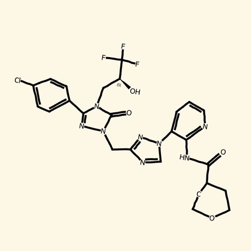 O=C(Nc1ncccc1-n1cnc(Cn2nc(-c3ccc(Cl)cc3)n(C[C@H](O)C(F)(F)F)c2=O)n1)C1CCOCC1